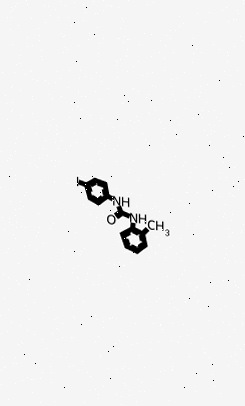 Cc1ccccc1NC(=O)Nc1ccc(I)cc1